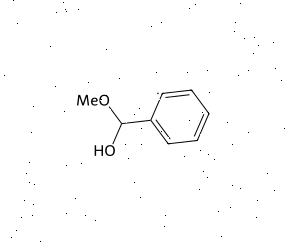 COC(O)c1[c]cccc1